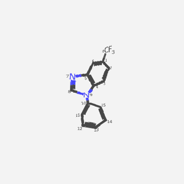 FC(F)(F)c1ccc2c(c1)ncn2-c1ccccc1